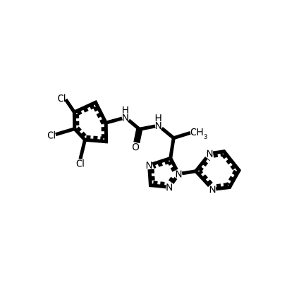 CC(NC(=O)Nc1cc(Cl)c(Cl)c(Cl)c1)c1ncnn1-c1ncccn1